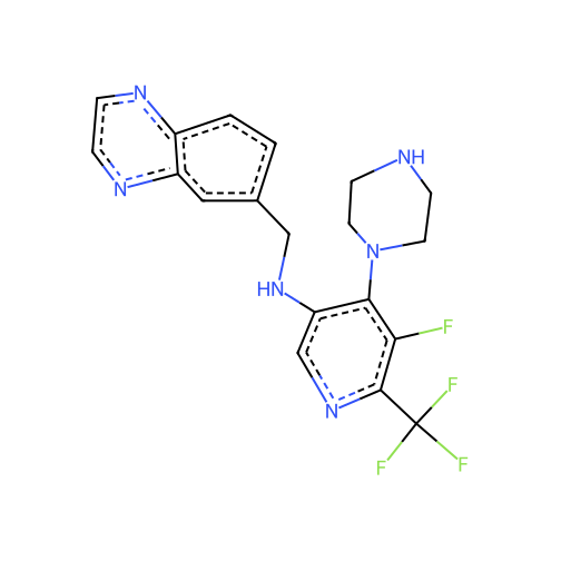 Fc1c(C(F)(F)F)ncc(NCc2ccc3nccnc3c2)c1N1CCNCC1